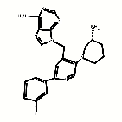 Nc1ncnc2c1ncn2Cc1cc(-c2cccc(F)c2)ncc1N1CCC[C@@H](N)C1